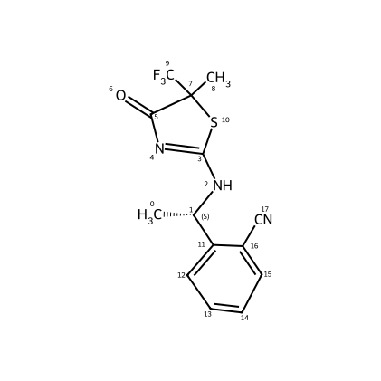 C[C@H](NC1=NC(=O)C(C)(C(F)(F)F)S1)c1ccccc1C#N